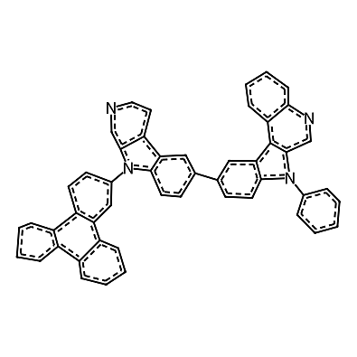 c1ccc(-n2c3ccc(-c4ccc5c(c4)c4ccncc4n5-c4ccc5c6ccccc6c6ccccc6c5c4)cc3c3c4ccccc4ncc32)cc1